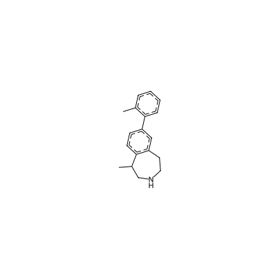 Cc1ccccc1-c1ccc2c(c1)CCNCC2C